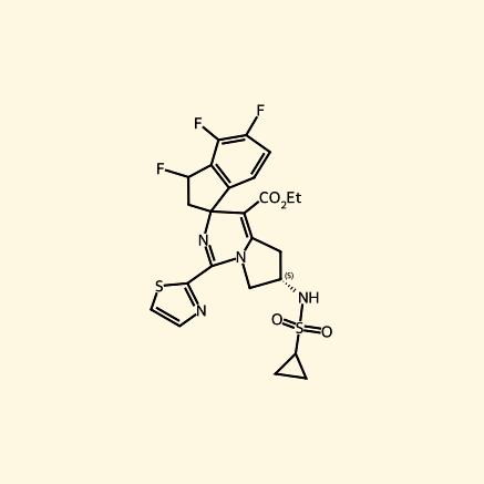 CCOC(=O)C1=C2C[C@H](NS(=O)(=O)C3CC3)CN2C(c2nccs2)=NC12CC(F)c1c2ccc(F)c1F